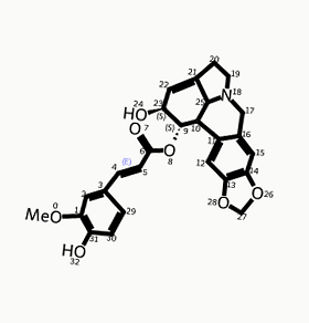 COc1cc(/C=C/C(=O)O[C@H]2C3c4cc5c(cc4CN4CCC(=C[C@@H]2O)C34)OCO5)ccc1O